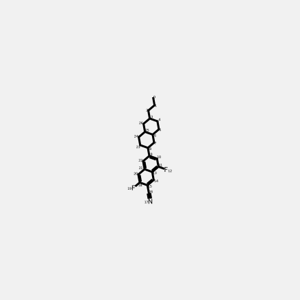 CCCC1CCC2CC(c3cc(F)c4cc(C#N)c(F)cc4c3)CCC2C1